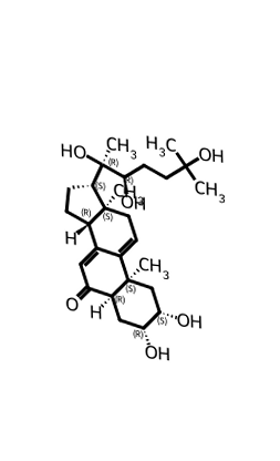 CC(C)(O)CC[C@@H](O)[C@](C)(O)[C@H]1CC[C@H]2C3=CC(=O)[C@@H]4C[C@@H](O)[C@@H](O)C[C@]4(C)C3=CC[C@]12C